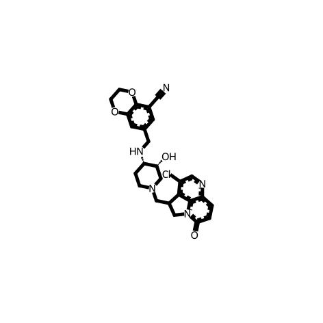 N#Cc1cc(CN[C@H]2CCN(CC3Cn4c(=O)ccc5ncc(Cl)c3c54)C[C@H]2O)cc2c1OCCO2